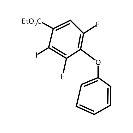 CCOC(=O)c1cc(F)c(Oc2ccccc2)c(F)c1I